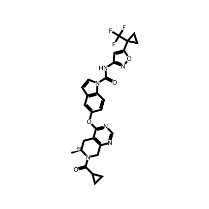 C[C@H]1Cc2c(ncnc2Oc2ccc3c(ccn3C(=O)Nc3cc(C4(C(F)(F)F)CC4)on3)c2)CN1C(=O)C1CC1